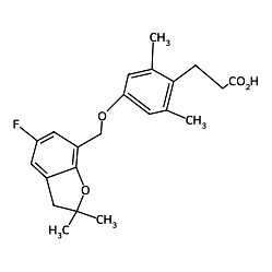 Cc1cc(OCc2cc(F)cc3c2OC(C)(C)C3)cc(C)c1CCC(=O)O